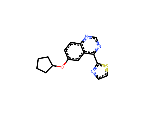 c1csc(-c2ncnc3ccc(OC4CCCC4)cc23)n1